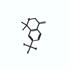 C=C1COC(C)(C)c2cc(C(F)(F)F)ccc21